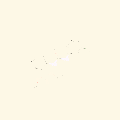 CCOP(=O)(OCC)c1ccccc1NC(=O)Nc1cc(Cl)cc(Cl)c1